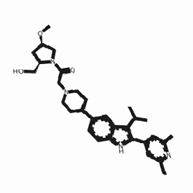 CO[C@@H]1C[C@H](CO)N(C(=O)CN2CCC(c3ccc4[nH]c(-c5cc(C)nc(C)c5)c(C(C)C)c4c3)CC2)C1